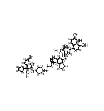 CC(C)(C)[Si](C)(C)OC(CNCc1cc2nnn(CCCN3CCC(OC(=O)[C@](O)(c4cccs4)c4ccc(Br)s4)CC3)c2c2c1CCC2)c1ccc(O)c2[nH]c(=O)ccc12